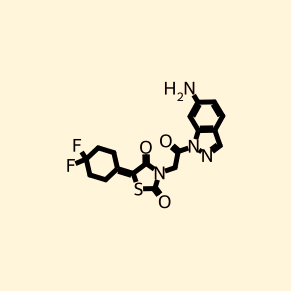 Nc1ccc2cnn(C(=O)CN3C(=O)SC(=C4CCC(F)(F)CC4)C3=O)c2c1